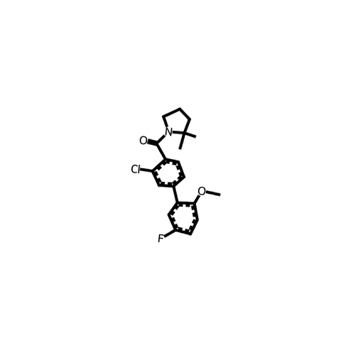 COc1ccc(F)cc1-c1ccc(C(=O)N2CCCC2(C)C)c(Cl)c1